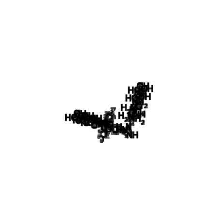 C1CNCCN1.Cc1ccc(OP(=O)(Oc2ccc(C)cc2)Oc2ccc(C)cc2)cc1.N.N.N=C(N)N.NC(N)=O.NCCN.O=P(O)(O)O.O=P(O)(O)O.O=P(O)(O)O.O=P(O)(O)O.O=P(O)(O)O